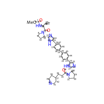 COC(=O)N[C@H](C(=O)N1CCC[C@H]1c1ncc(-c2ccc(-c3ccc(-c4cnc([C@@H]5CCCN5C(=O)CCC5CC=NCC5)[nH]4)cc3)cc2)[nH]1)C(C)C